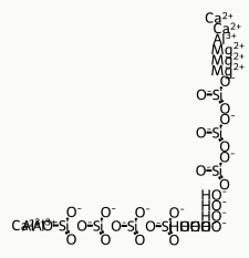 O=[Si]([O-])[O-].O=[Si]([O-])[O-].O=[Si]([O-])[O-].O=[Si]([O-])[O-].O=[Si]([O-])[O-].O=[Si]([O-])[O-].O=[Si]([O-])[O-].[Al+3].[Al+3].[Al+3].[Ca+2].[Ca+2].[Ca+2].[Mg+2].[Mg+2].[Mg+2].[OH-].[OH-].[OH-].[OH-].[OH-].[OH-].[OH-]